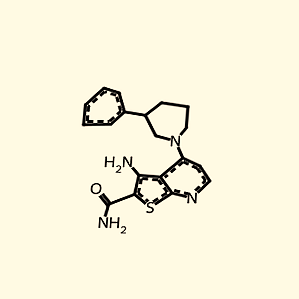 NC(=O)c1sc2nccc(N3CCCC(c4ccccc4)C3)c2c1N